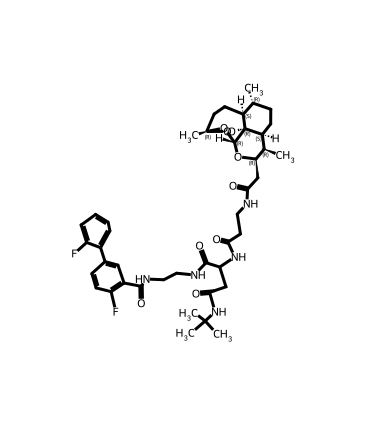 C[C@H]1[C@@H](CC(=O)NCCC(=O)NC(CC(=O)NC(C)(C)C)C(=O)NCCNC(=O)c2cc(-c3ccccc3F)ccc2F)O[C@@H]2O[C@@]3(C)CC[C@H]4[C@H](C)CC[C@@H]1[C@@]24OO3